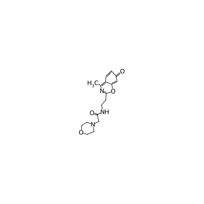 Cc1nc(CCNC(=O)CN2CCOCC2)oc2cc(=O)ccc1-2